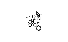 CC(C)C1COC(=O)N1C(=O)C(N=[N+]=[N-])C(C)(C)c1ccccc1